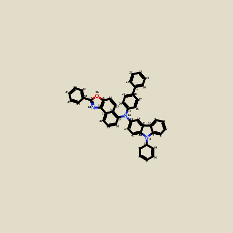 C1=CCC(n2c3ccccc3c3cc(N(c4ccc(-c5ccccc5)cc4)c4cccc5c4ccc4oc(-c6ccccc6)nc45)ccc32)C=C1